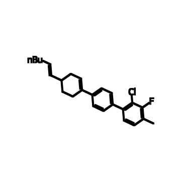 CCCC/C=C/C1CC=C(c2ccc(-c3ccc(C)c(F)c3Cl)cc2)CC1